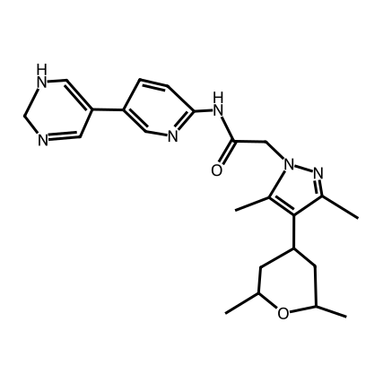 Cc1nn(CC(=O)Nc2ccc(C3=CNCN=C3)cn2)c(C)c1C1CC(C)OC(C)C1